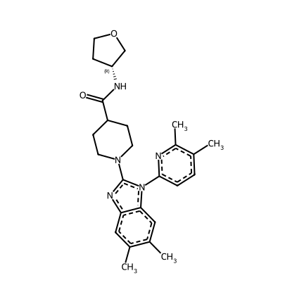 Cc1cc2nc(N3CCC(C(=O)N[C@@H]4CCOC4)CC3)n(-c3ccc(C)c(C)n3)c2cc1C